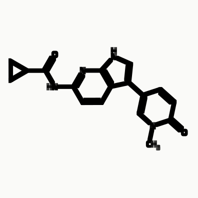 Cn1cc(-c2c[nH]c3nc(NC(=O)C4CC4)ccc23)ccc1=O